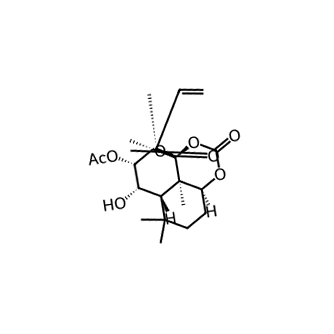 C=C[C@@]1(C)CC(=O)[C@@]23OC(=O)O[C@H]4CCC(C)(C)[C@H]([C@H](O)[C@H](OC(C)=O)[C@@]2(C)O1)[C@]43C